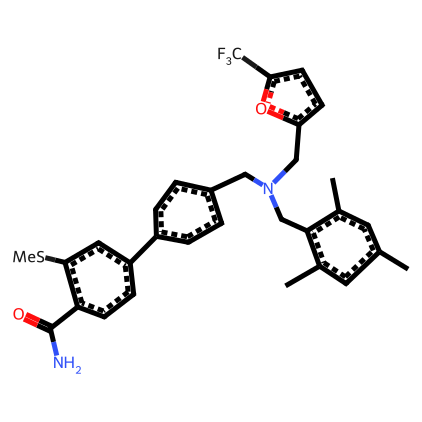 CSc1cc(-c2ccc(CN(Cc3ccc(C(F)(F)F)o3)Cc3c(C)cc(C)cc3C)cc2)ccc1C(N)=O